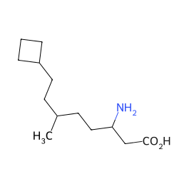 CC(CCC(N)CC(=O)O)CCC1CCC1